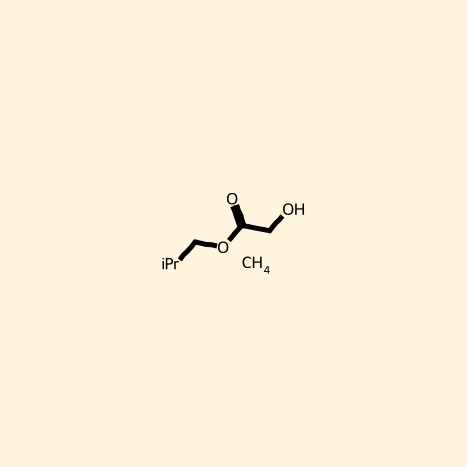 C.CC(C)COC(=O)CO